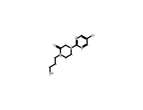 O=C1CN(c2ncc(Cl)cn2)CCN1CCCO